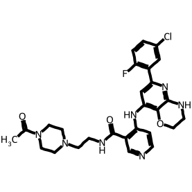 CC(=O)N1CCN(CCNC(=O)c2cnccc2Nc2cc(-c3cc(Cl)ccc3F)nc3c2OCCN3)CC1